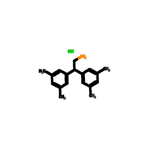 Cc1cc(C)cc(C(CP)c2cc(C)cc(C)c2)c1.Cl